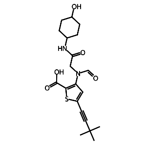 CC(C)(C)C#Cc1cc(N(C=O)CC(=O)NC2CCC(O)CC2)c(C(=O)O)s1